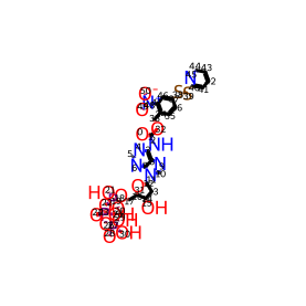 O=C(Nc1ncnc2c1ncn2[C@H]1C[C@@H](O)C(COP(=O)(O)OP(=O)(O)OP(=O)(O)O)O1)OCc1ccc(SSc2ccccn2)cc1[N+](=O)[O-]